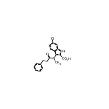 CN(C(=O)CCc1ccccc1)c1c(C(=O)O)[nH]c2cc(Cl)ccc12